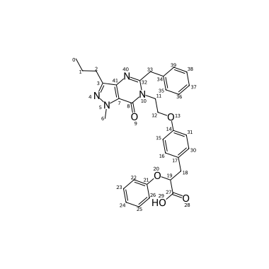 CCCc1nn(C)c2c(=O)n(CCOc3ccc(CC(Oc4ccccc4)C(=O)O)cc3)c(Cc3ccccc3)nc12